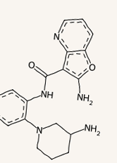 Nc1oc2cccnc2c1C(=O)Nc1cnccc1N1CCCC(N)C1